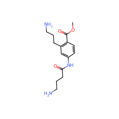 COC(=O)c1ccc(NC(=O)CCCN)cc1CCCN